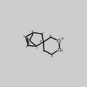 C1=CC2CC1CC21CCOOC1